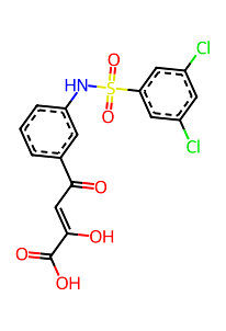 O=C(O)/C(O)=C/C(=O)c1cccc(NS(=O)(=O)c2cc(Cl)cc(Cl)c2)c1